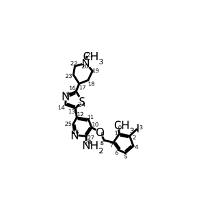 Cc1c(I)cccc1COc1cc(-c2cnc(C3CCN(C)CC3)s2)cnc1N